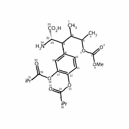 COC(=O)OC(C)C(C)C(c1ccc(OC(=O)C(C)C)c(OC(=O)C(C)C)c1)[C@H](N)C(=O)O